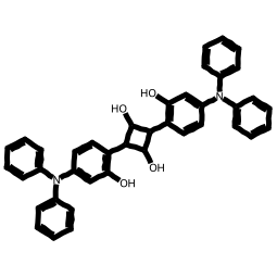 Oc1cc(N(c2ccccc2)c2ccccc2)ccc1C1C(O)C(c2ccc(N(c3ccccc3)c3ccccc3)cc2O)C1O